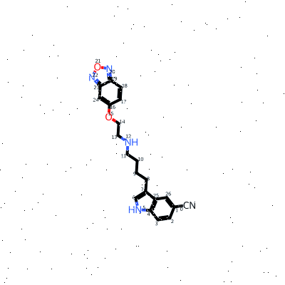 N#Cc1ccc2[nH]cc(CCCCNCCOc3ccc4nonc4c3)c2c1